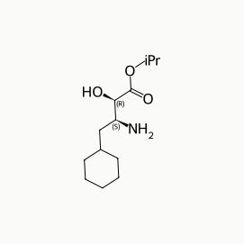 CC(C)OC(=O)[C@H](O)[C@@H](N)CC1CCCCC1